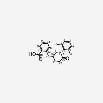 Cc1cccc(C)c1N1CC(Cc2ccccc2C(=O)O)CCC1=O